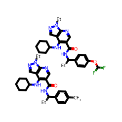 CCC(NC(=O)c1cnc2c(cnn2CC)c1NC1CCCCC1)c1ccc(C(F)(F)F)cc1.CCC(NC(=O)c1cnc2c(cnn2CC)c1NC1CCCCC1)c1ccc(OC(F)F)cc1